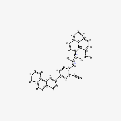 C#Cc1cc(-c2ccc3ccc4c(c3n2)N=CCC4)ccc1/C=C(C)/C(C)=c1\ccc2cccc3ccc(CC)c1c32